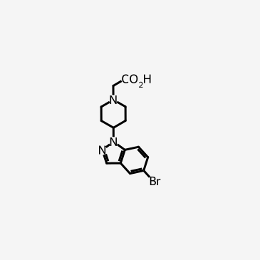 O=C(O)CN1CCC(n2ncc3cc(Br)ccc32)CC1